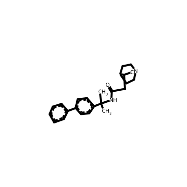 CC(C)(NC(=O)CC1CN2CCC1CC2)c1ccc(-c2ccccc2)cc1